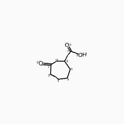 O=C1CCCCC(C(=O)O)C1